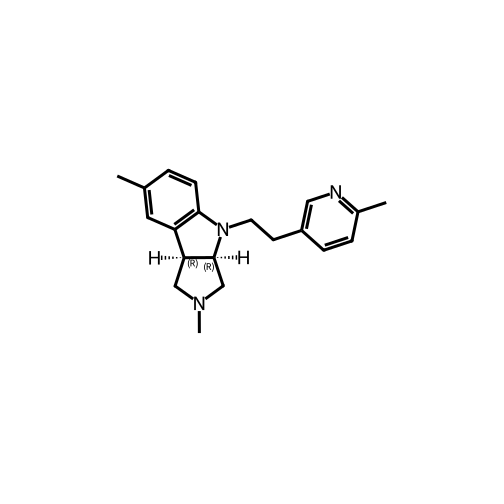 Cc1ccc2c(c1)[C@@H]1CN(C)C[C@@H]1N2CCc1ccc(C)nc1